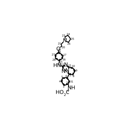 O=C(O)Nc1cccc(-c2cccc3nc(Nc4ccc(OCCN5CCCC5)cc4)nn23)c1